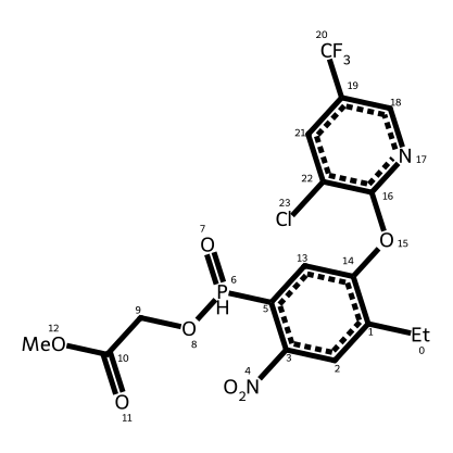 CCc1cc([N+](=O)[O-])c([PH](=O)OCC(=O)OC)cc1Oc1ncc(C(F)(F)F)cc1Cl